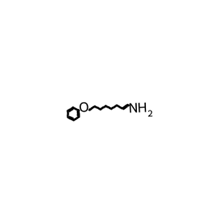 NC=CCCCCCCOc1ccccc1